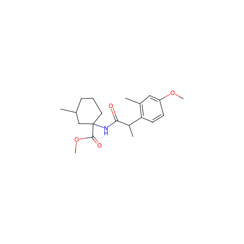 COC(=O)C1(NC(=O)C(C)c2ccc(OC)cc2C)CCCC(C)C1